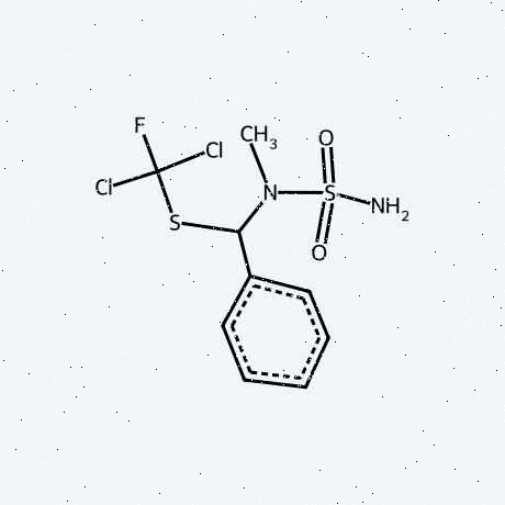 CN(C(SC(F)(Cl)Cl)c1ccccc1)S(N)(=O)=O